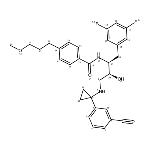 C#Cc1cccc(C2(NC[C@H](O)[C@H](Cc3cc(F)cc(F)c3)NC(=O)c3ccc(CCCOC)cc3)CC2)c1